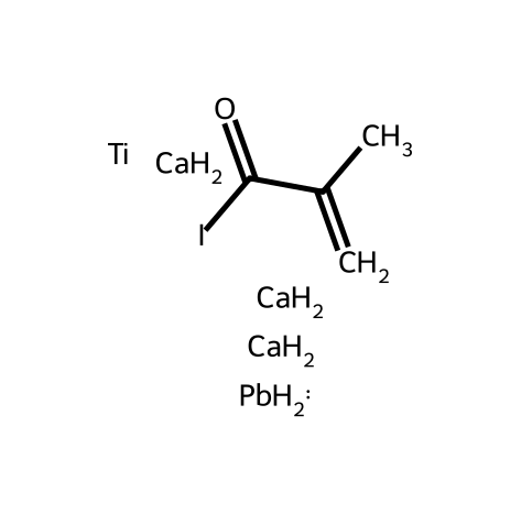 C=C(C)C(=O)I.[CaH2].[CaH2].[CaH2].[PbH2].[Ti]